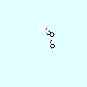 CC(CO)n1ccc2c(NC(=O)Cc3ccc4c(c3)OCO4)cccc2c1=O